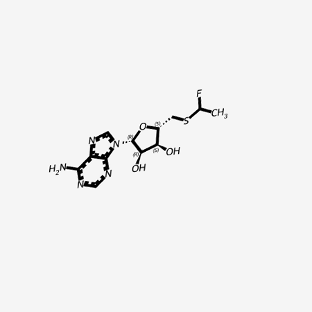 CC(F)SC[C@H]1O[C@@H](n2cnc3c(N)ncnc32)[C@H](O)[C@@H]1O